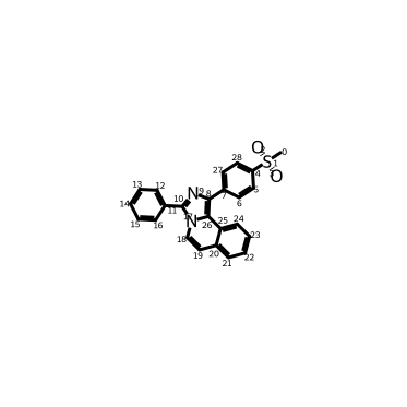 CS(=O)(=O)c1ccc(-c2nc(-c3ccccc3)n3ccc4ccccc4c23)cc1